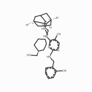 N#Cc1ccccc1CNc1ncc(C#N)c(NC[C@]23CC4C[C@H](C2)[C@H](NC[C@H]2CC[C@H](CO)CC2)[C@@H](C4)C3)n1